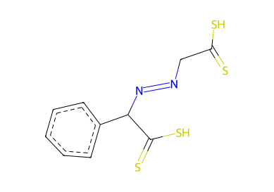 S=C(S)CN=NC(C(=S)S)c1ccccc1